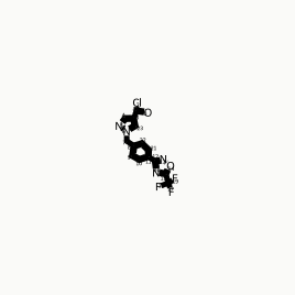 O=C(Cl)c1cnn(Cc2ccc(-c3noc(C(F)(F)F)n3)cc2)c1